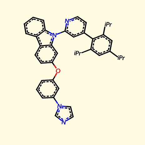 CC(C)c1cc(C(C)C)c(-c2ccnc(-n3c4ccccc4c4ccc(Oc5cccc(-n6ccnc6)c5)cc43)c2)c(C(C)C)c1